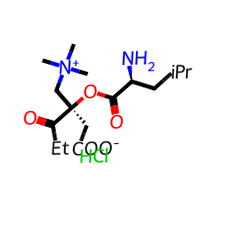 CCC(=O)[C@@](CC(=O)[O-])(C[N+](C)(C)C)OC(=O)[C@@H](N)CC(C)C.Cl